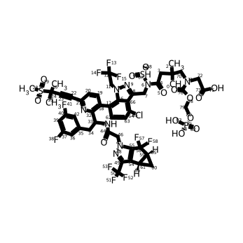 CC(C)(CC(=O)N(Cc1nn(CC(F)(F)F)c2c(-c3ccc(C#CC(C)(C)S(C)(=O)=O)nc3C(Cc3cc(F)cc(F)c3)NC(=O)Cn3nc(C(F)(F)F)c4c3C(F)(F)[C@@H]3C[C@H]43)ccc(Cl)c12)[SH](=O)=O)CN(CC(=O)O)C(=O)OCOP(=O)(O)O